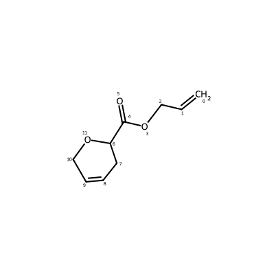 C=CCOC(=O)C1CC=CCO1